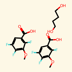 COc1c(F)c(F)cc(C(=O)O)c1F.COc1c(F)c(F)cc(C(=O)O)c1F.OCCCCO